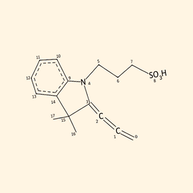 C=C=C=C1N(CCCS(=O)(=O)O)c2ccccc2C1(C)C